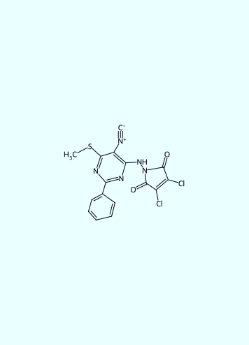 [C-]#[N+]c1c(NN2C(=O)C(Cl)=C(Cl)C2=O)nc(-c2ccccc2)nc1SC